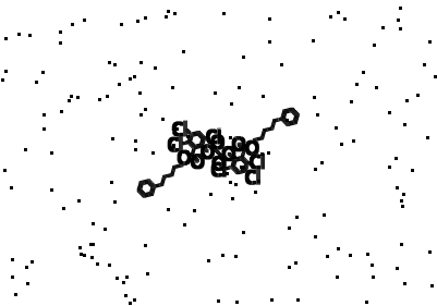 O=C(Oc1c(Cl)cc(Cl)c(Cl)c1C(=O)OCCCCCc1ccccc1)C(=O)Oc1c(Cl)cc(Cl)c(Cl)c1C(=O)OCCCCCc1ccccc1